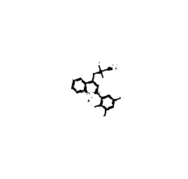 Cc1cc(C)c(C)c(-c2cc(CC(C)(C)C#N)c3ccccc3[n+]2C)c1